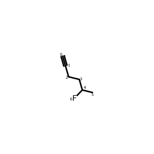 [C]#CCCC(C)F